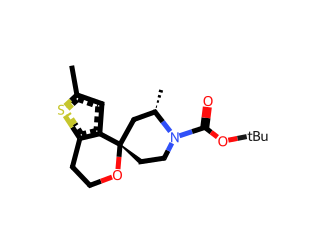 Cc1cc2c(s1)CCO[C@]21CCN(C(=O)OC(C)(C)C)[C@@H](C)C1